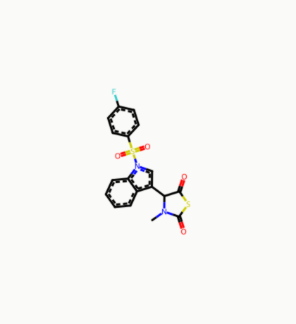 CN1C(=O)SC(=O)C1c1cn(S(=O)(=O)c2ccc(F)cc2)c2ccccc12